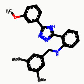 COc1cc(CNc2ccccc2-c2nnc(-c3cccc(OC(F)(F)F)c3)[nH]2)cc(OC)c1